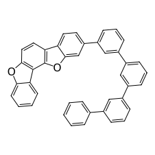 c1ccc(-c2cccc(-c3cccc(-c4cccc(-c5ccc6c(c5)oc5c6ccc6oc7ccccc7c65)c4)c3)c2)cc1